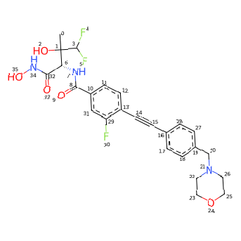 CC(O)(C(F)F)[C@H](NC(=O)c1ccc(C#Cc2ccc(CN3CCOCC3)cc2)c(F)c1)C(=O)NO